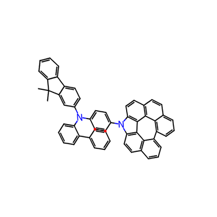 CC1(C)c2ccccc2-c2ccc(N(c3ccc(-n4c5ccc6cccc7c6c5c5c6c(ccc8cccc-7c86)ccc54)cc3)c3ccccc3-c3ccccc3)cc21